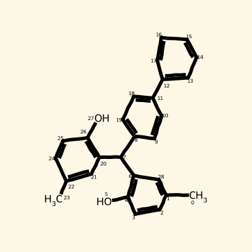 Cc1ccc(O)c(C(c2ccc(-c3ccccc3)cc2)c2cc(C)ccc2O)c1